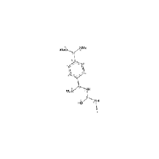 CNC(NC(O)NF)c1ccc(C(NC)OC)cc1